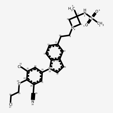 CC1(NS(C)(=O)=O)CN(CCc2ccc3c(ccn3-c3cc(Cl)c(OCCCl)c(C#N)c3)c2)C1